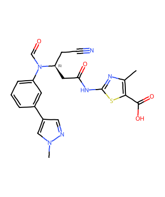 Cc1nc(NC(=O)C[C@H](CC#N)N(C=O)c2cccc(-c3cnn(C)c3)c2)sc1C(=O)O